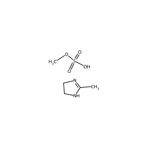 CC1=NCCN1.COS(=O)(=O)O